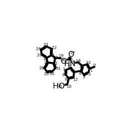 Cc1ccc(-c2cccc(CO)c2)c(CNC(=O)OCC2c3ccccc3-c3ccccc32)c1